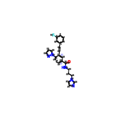 C=C(/C(C#Cc1cccc(F)c1)=C\C(=C/C)C(=O)NCCCn1ccnc1)n1cccn1